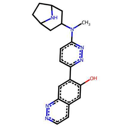 CN(c1ccc(-c2cc3nnccc3cc2O)nn1)C1CC2CCC(C1)N2